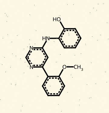 COc1ccccc1-c1cc(Nc2ccccc2O)ncn1